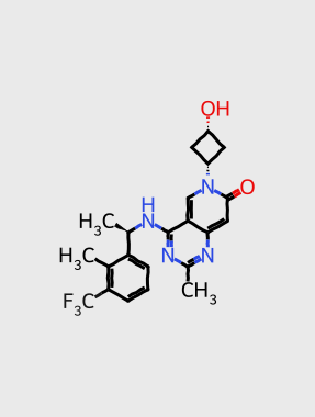 Cc1nc(N[C@H](C)c2cccc(C(F)(F)F)c2C)c2cn([C@H]3C[C@@H](O)C3)c(=O)cc2n1